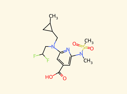 CC1CC1CN(CC(F)F)c1cc(C(=O)O)cc(N(C)S(C)(=O)=O)n1